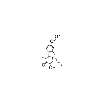 CCCCC12Cc3cc(OCOC)ccc3C1=C(C)C(=O)C(O)C2